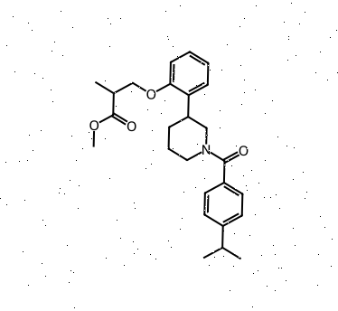 COC(=O)C(C)COc1ccccc1C1CCCN(C(=O)c2ccc(C(C)C)cc2)C1